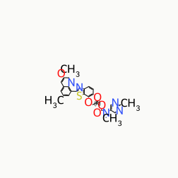 COc1cnc2c(-c3nc4ccc5c(c4s3)OC[C@@H](OC(=O)N(C)c3cnc(C)nc3)O5)cc(C)cc2c1